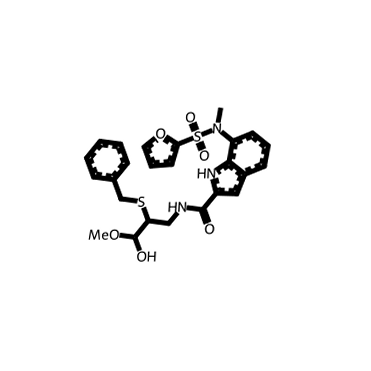 COC(O)C(CNC(=O)c1cc2cccc(N(C)S(=O)(=O)c3ccco3)c2[nH]1)SCc1ccccc1